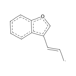 [CH2]C=Cc1coc2ccccc12